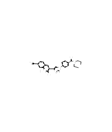 N#Cc1ccc2cc(-c3cn(-c4ccc(C(=O)N5CCOCC5)cc4)nn3)c(=O)[nH]c2c1